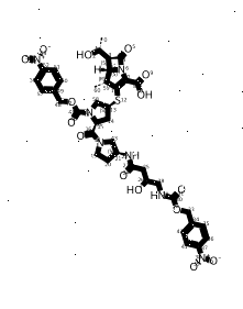 C[C@@H](O)[C@H]1C(=O)N2C(C(=O)O)=C(S[C@H]3C[C@@H](C(=O)N4CC[C@H](NC(=O)CC(O)CNC(=O)OCc5ccc([N+](=O)[O-])cc5)C4)N(C(=O)OCc4ccc([N+](=O)[O-])cc4)C3)[C@H](C)[C@H]12